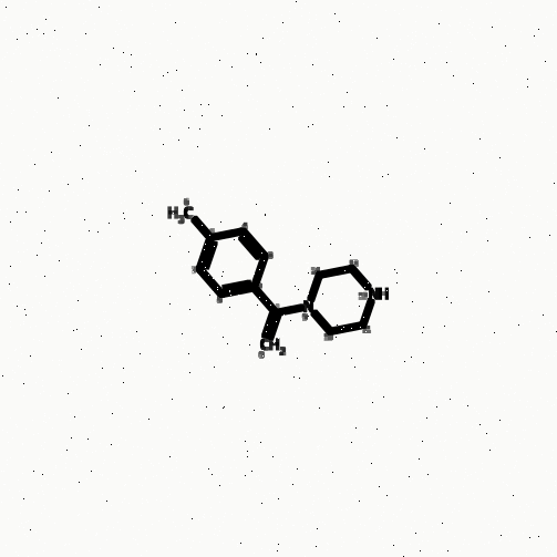 C=C(c1ccc(C)cc1)N1CCNCC1